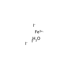 O.[Fe+3].[I-].[I-].[I-]